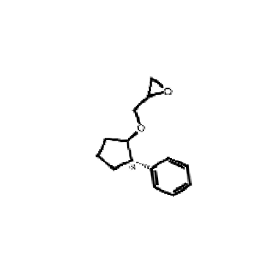 c1ccc([C@@H]2CCCC2OCC2CO2)cc1